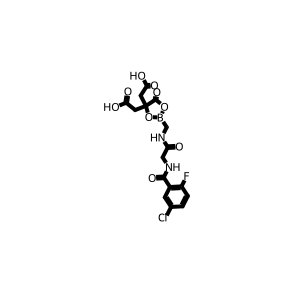 O=C(O)CC1(CC(=O)O)OB(CNC(=O)CNC(=O)c2cc(Cl)ccc2F)OC1=O